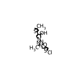 Cc1csc(C2=CCN(c3nc(C)n(Cc4ccc(Cl)s4)c(=O)n3)CC2O)c1